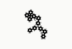 c1ccc(-c2ccc(N(c3ccc(-c4cccc5c4oc4c6c(ccc45)C(c4ccccc4)(c4ccccc4)c4ccccc4-6)cc3)c3ccc(-c4cccc5c4sc4ccccc45)cc3)cc2)cc1